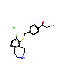 CCC(=O)c1ccc(CSc2c(Cl)ccc3c2CCNCC3)cc1.Cl